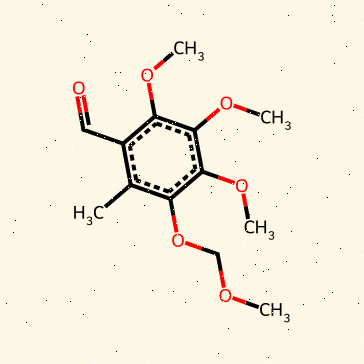 COCOc1c(C)c(C=O)c(OC)c(OC)c1OC